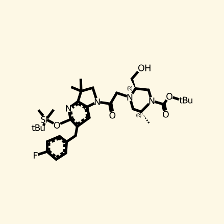 C[C@@H]1CN(CC(=O)N2CC(C)(C)c3nc(O[Si](C)(C)C(C)(C)C)c(Cc4ccc(F)cc4)cc32)[C@@H](CO)CN1C(=O)OC(C)(C)C